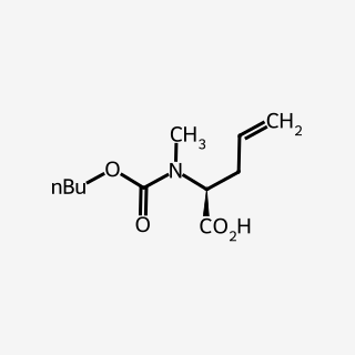 C=CC[C@@H](C(=O)O)N(C)C(=O)OCCCC